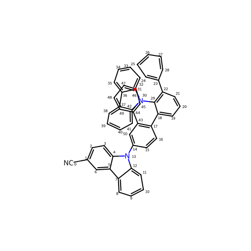 N#Cc1ccc2c(c1)c1ccccc1n2-c1ccc(-c2cccc(-c3ccccc3)c2-n2c3ccccc3c3ccccc32)c(-c2ccccc2)c1